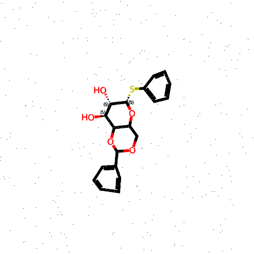 O[C@H]1[C@H](O)C2OC(c3ccccc3)OCC2O[C@H]1Sc1ccccc1